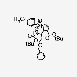 Cc1ccc(S(=O)(=O)n2ccc(C(=O)OC(C)(C)C)c2C(CCOCc2ccccc2)NC(=O)OC(C)(C)C)cc1